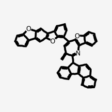 C=C1C=C(c2cccc3c2oc2cc4c(cc23)oc2ccccc24)c2oc3ccccc3c2N=C1C1c2ccccc2-c2c1ccc1ccccc21